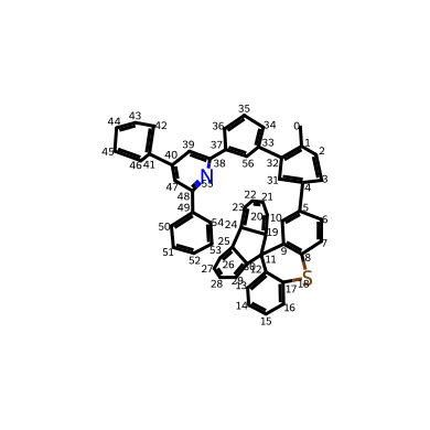 Cc1ccc(-c2ccc3c(c2)C2(c4ccccc4S3)c3ccccc3-c3ccccc32)cc1-c1cccc(-c2cc(-c3ccccc3)cc(-c3ccccc3)n2)c1